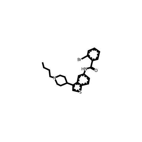 CCCCN1CCC(c2csc3ccc(NC(=O)c4ccccc4Br)cc23)CC1